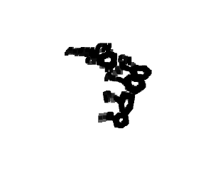 C=C(C)c1ccccc1.CC(=O)c1ccccc1.CC(C)(O)c1ccccc1.CC(C)=O.CC(C)c1ccccc1.Oc1ccccc1